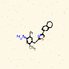 Cc1cc(N)c(C(C)C)cc1Cc1nc(-c2ccc3c(c2)CCCC3)cs1